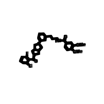 COc1ccc(C(=O)NCCCc2cccc(N3CC4CN(C(=O)c5c(F)cccc5Cl)CC4C3)c2)cc1OC